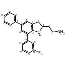 NCCC1Cc2cc(-c3ccccc3)cc(-c3cccc(F)c3)c2O1